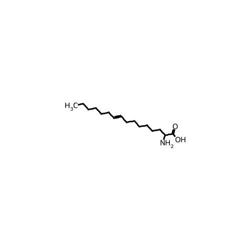 CCCCCCC=CCCCCCCC(N)C(=O)O